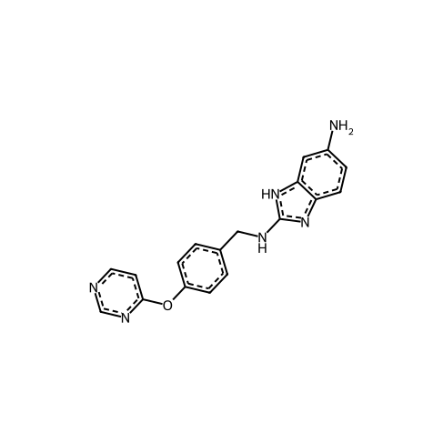 Nc1ccc2nc(NCc3ccc(Oc4ccncn4)cc3)[nH]c2c1